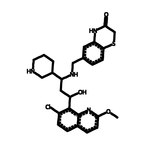 COc1ccc2ccc(Cl)c(C(O)CC(NCc3ccc4c(c3)NC(=O)CS4)C3CCCNC3)c2n1